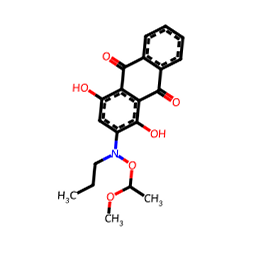 CCCN(OC(C)OC)c1cc(O)c2c(c1O)C(=O)c1ccccc1C2=O